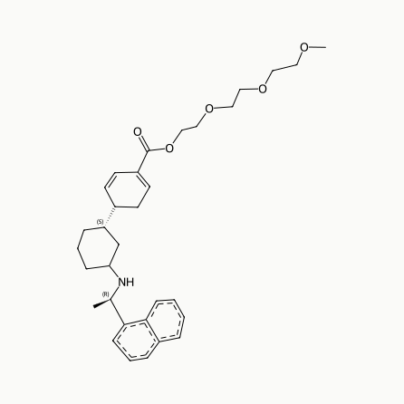 COCCOCCOCCOC(=O)C1=CCC([C@H]2CCCC(N[C@H](C)c3cccc4ccccc34)C2)C=C1